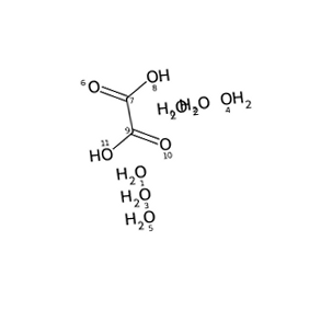 O.O.O.O.O.O.O=C(O)C(=O)O